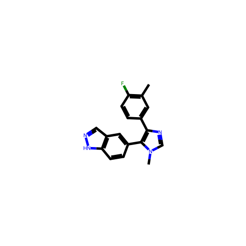 Cc1cc(-c2ncn(C)c2-c2ccc3[nH]ncc3c2)ccc1F